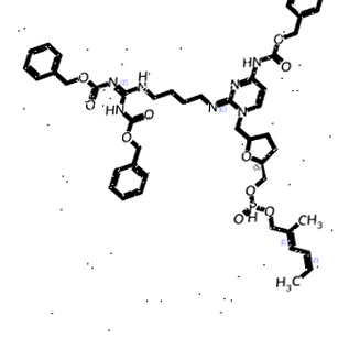 C/C=C\C=C(/C)CO[PH](=O)OC[C@@H]1CCC(Cn2ccc(NC(=O)OCc3ccccc3)n/c2=N\CCCCN/C(=N/C(=O)OCc2ccccc2)NC(=O)OCc2ccccc2)O1